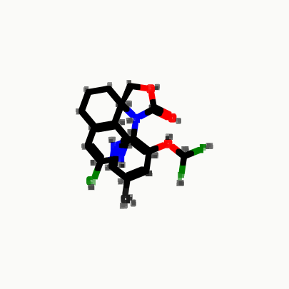 O=C1OC[C@@]2(CCCc3cc(Cl)ncc32)N1c1ncc(C(F)(F)F)cc1OC(F)F